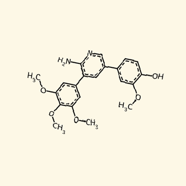 COc1cc(-c2cnc(N)c(-c3cc(OC)c(OC)c(OC)c3)c2)ccc1O